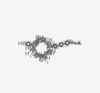 C[C@@H](O)[C@@H]1NC(=O)[C@H]([C@H](O)[C@@H](O)c2ccc(O)cc2)NC(=O)[C@@H]2C[C@@H](O)CN2C(=O)[C@H]([C@@H](C)O)NC(=O)[C@@H](NC(=O)c2ccc(-c3ccc(-c4ccc(OCCCC5CC5)cc4)cc3)cc2)C[C@@H](O)[C@@H](O)NC(=O)[C@@H]2[C@@H](O)[C@@H](C)CN2C1=O